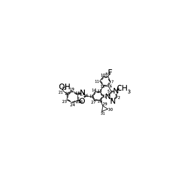 Cn1cnnc1-c1cc(F)ccc1-c1cc(-c2nc3cc(CO)ccc3o2)cc(C2CC2)c1